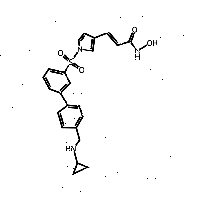 O=C(C=Cc1ccn(S(=O)(=O)c2cccc(-c3ccc(CNC4CC4)cc3)c2)c1)NO